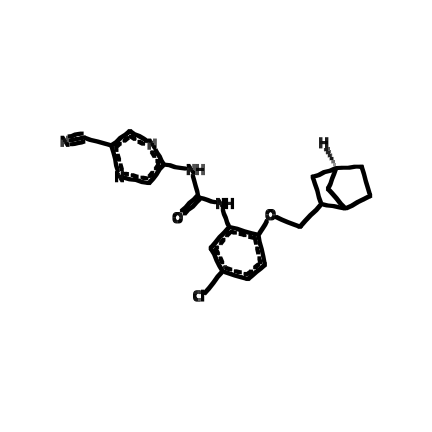 N#Cc1cnc(NC(=O)Nc2cc(Cl)ccc2OCC2C[C@H]3CCC2C3)cn1